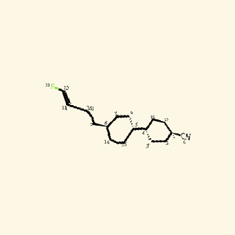 N#C[C@H]1CC[C@H]([C@H]2CC[C@H](CC/C=C/F)CC2)CC1